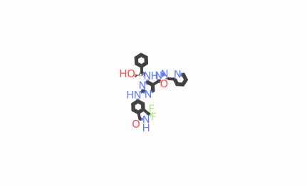 O=C1NC(F)(F)c2cc(Nc3ncc(-c4nnc(-c5ccccn5)o4)c(N[C@H](CO)c4ccccc4)n3)ccc21